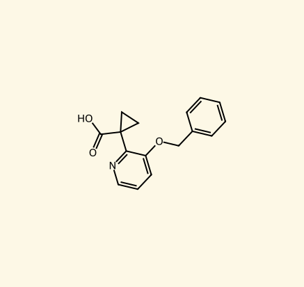 O=C(O)C1(c2ncccc2OCc2ccccc2)CC1